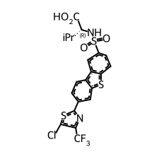 CC(C)[C@@H](NS(=O)(=O)c1ccc2sc3cc(-c4nc(C(F)(F)F)c(Cl)s4)ccc3c2c1)C(=O)O